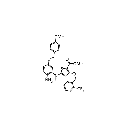 COC(=O)c1sc(Nc2cc(OCc3ccc(OC)cc3)ccc2N)cc1O[C@H](C)c1ccccc1C(F)(F)F